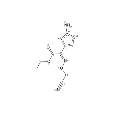 CCOC(=O)C(=NOCC#N)c1csc(N)n1